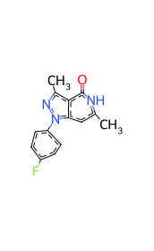 Cc1cc2c(c(C)nn2-c2ccc(F)cc2)c(=O)[nH]1